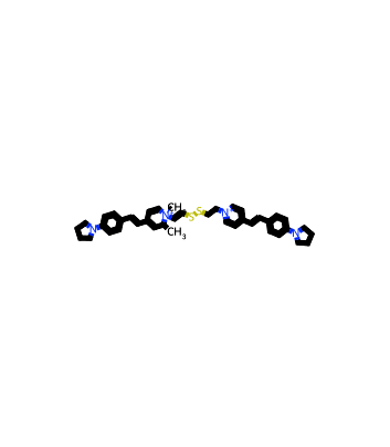 CC1C=C(/C=C/c2ccc(N3CCCC3)cc2)C=C[N@+]1(C)/C=C/SSCC[n+]1ccc(/C=C/c2ccc(N3CCCC3)cc2)cc1